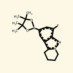 CC1(C)OB(c2cc(F)c3nn4c(c3c2)CCCC4)OC1(C)C